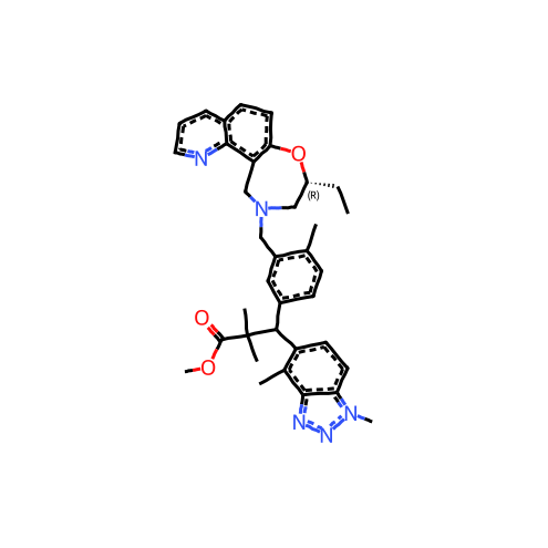 CC[C@@H]1CN(Cc2cc(C(c3ccc4c(nnn4C)c3C)C(C)(C)C(=O)OC)ccc2C)Cc2c(ccc3cccnc23)O1